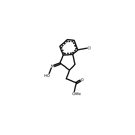 COC(=O)CC1Cc2c(Cl)cccc2/C1=N/O